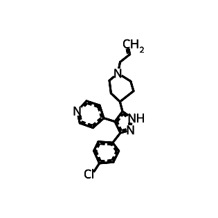 C=CCN1CCC(c2[nH]nc(-c3ccc(Cl)cc3)c2-c2ccncc2)CC1